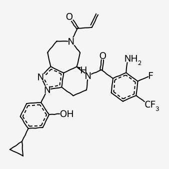 C=CC(=O)N1CCc2nn(-c3ccc(C4CC4)cc3O)c3c2[C@H](C1)N(C(=O)c1ccc(C(F)(F)F)c(F)c1N)CC3